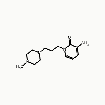 CN1CCN(CCCn2cccc(N)c2=O)CC1